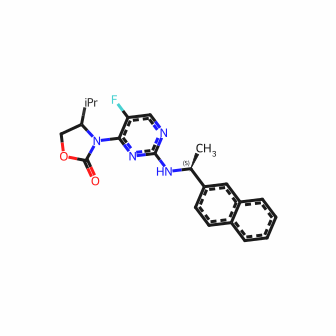 CC(C)C1COC(=O)N1c1nc(N[C@@H](C)c2ccc3ccccc3c2)ncc1F